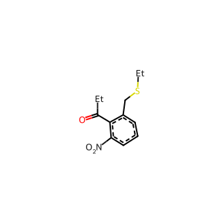 CCSCc1cccc([N+](=O)[O-])c1C(=O)CC